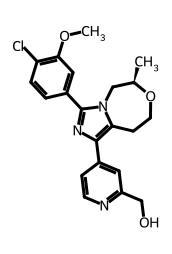 COc1cc(-c2nc(-c3ccnc(CO)c3)c3n2C[C@@H](C)OCC3)ccc1Cl